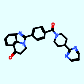 O=C1CCn2c(-c3ccc(C(=O)N4CCC(c5ncccn5)CC4)cc3)nc3cccc1c32